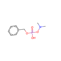 CN(C)OP(=O)(O)OCc1ccccc1